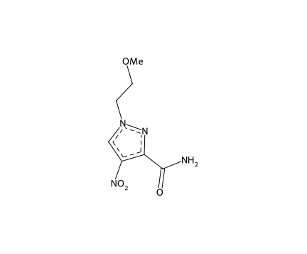 COCCn1cc([N+](=O)[O-])c(C(N)=O)n1